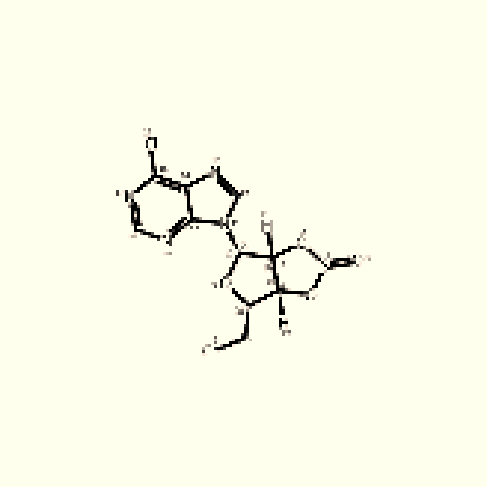 O=S1O[C@@H]2[C@H](O1)[C@@H](CCl)O[C@H]2n1cnc2c(Cl)ncnc21